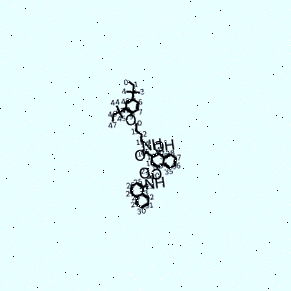 CCC(C)(C)c1ccc(OCCCCNC(=O)c2cc(OC(=O)Nc3cccc4ccccc34)c3ccccc3c2O)c(C(C)(C)CC)c1